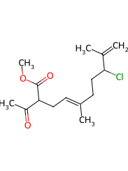 C=C(C)C(Cl)CCC(C)=CCC(C(C)=O)C(=O)OC